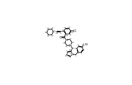 N#Cc1ccc(Cn2cncc2CN2CCN(C(=O)c3cc(Cl)ccc3C#CC3CCCCC3)CC2)cc1